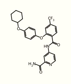 NC(=O)c1cc(NC(=O)c2ccc(C(F)(F)F)cc2Oc2ccc(OC3CCCCC3)cc2)ccn1